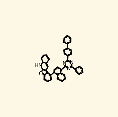 C1=CC2=Cc3c(oc4cccc(-c5ccc(-c6nc(-c7ccccc7)nc(-c7ccc(-c8ccccc8)cc7)n6)c6ccccc56)c34)NC2C=C1